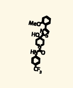 COc1ccccc1-c1csc(C2(O)CCN(C(=O)Nc3ccc(C(F)(F)F)cc3)CC2)n1